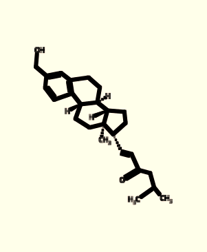 CC(C)CC(=O)/C=C/[C@H]1CC[C@H]2[C@@H]3CCc4cc(CO)ccc4[C@H]3CC[C@]12C